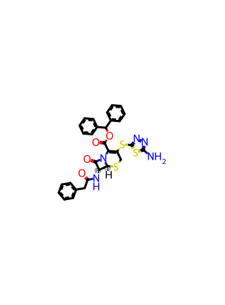 Nc1nnc(SC2=C(C(=O)OC(c3ccccc3)c3ccccc3)N3C(=O)[C@@H](NC(=O)Cc4ccccc4)[C@@H]3SC2)s1